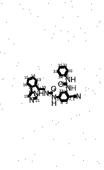 N#Cc1ccc(NC(=O)NCC2c3ccccc3-c3cncn32)cc1NC(=O)Nc1ccccc1